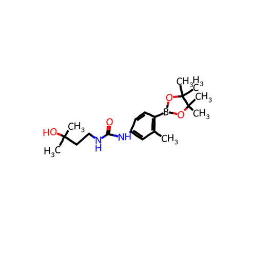 Cc1cc(NC(=O)NCCC(C)(C)O)ccc1B1OC(C)(C)C(C)(C)O1